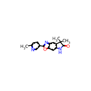 Cc1ccc(-c2nc3cc4c(cc3o2)NC(=O)C4(C)C)cn1